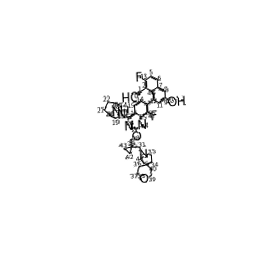 C#Cc1c(F)ccc2cc(O)cc(-c3ccc4c(N5CC6CCC(C5)N6)nc(OCC5(CN6CCC7(CCOCC7)C6)CC5)nc4c3F)c12